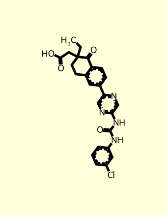 CCC1(CC(=O)O)CCc2cc(-c3cnc(NC(=O)Nc4cccc(Cl)c4)cn3)ccc2C1=O